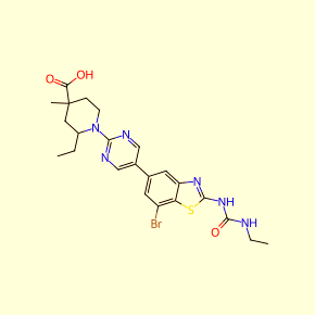 CCNC(=O)Nc1nc2cc(-c3cnc(N4CCC(C)(C(=O)O)CC4CC)nc3)cc(Br)c2s1